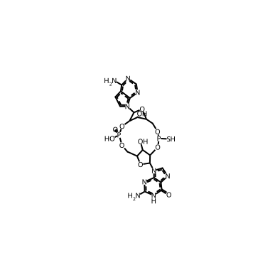 Nc1nc2c(ncn2C2OC3COP(=O)(O)OC4C(O)C(COP(S)OC2C3O)OC4n2ccc3c(N)ncnc32)c(=O)[nH]1